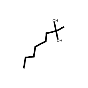 [CH2]CCCCCC(C)(O)O